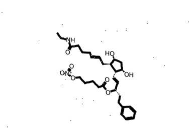 CCNC(=O)CCCC=CC[C@@H]1[C@@H](C=C[C@H](CCc2ccccc2)OC(=O)CCCCO[N+](=O)[O-])[C@H](O)C[C@@H]1O